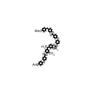 COc1ccc(Cc2ccc(OC(=O)c3ccc(Oc4ccc(OC(=O)Oc5ccc(C(C)c6ccc(OC(=O)c7ccc(Oc8ccc(OC(C)=O)cc8)cc7)c(C)c6)cc5C)cc4)cc3)cc2)cc1